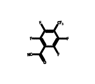 N#CC(=O)c1c(F)c(F)c(C(F)(F)F)c(F)c1F